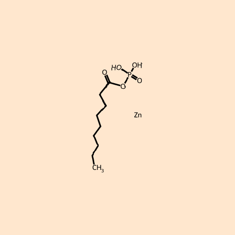 CCCCCCCCC(=O)OP(=O)(O)O.[Zn]